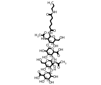 CCCNC(=O)CCCCC(=O)NCC(NC(C)=O)[C@@H](O[C@@H]1OC(C(=O)O)[C@@H](O[C@@H]2OC(CO)[C@@H](O)[C@H](O[C@@H]3OC(C(=O)O)[C@@H](O)[C@H](O)C3O)C2(O)NC(C)=O)[C@H](O)C1O)[C@H](O)C(O)CO